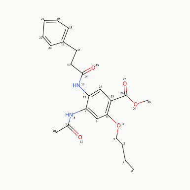 CCCCOc1cc(NC(C)=O)c(NC(=O)CCc2ccccc2)cc1C(=O)OC